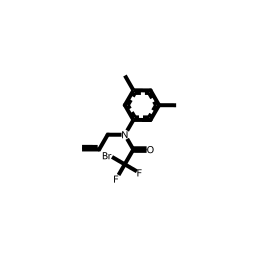 C=CCN(C(=O)C(F)(F)Br)c1cc(C)cc(C)c1